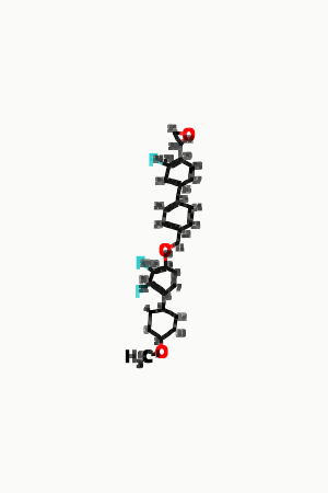 COC1CCC(c2ccc(OCc3ccc(-c4ccc(C5CO5)c(F)c4)cc3)c(F)c2F)CC1